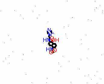 CN1CC[N+](C)(CC(=O)Nc2ccc3c(NS(C)(=O)=O)cccc3c2O)CC1